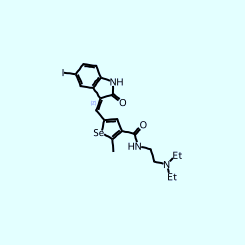 CCN(CC)CCNC(=O)c1cc(/C=C2\C(=O)Nc3ccc(I)cc32)[se]c1C